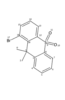 CC1(C)c2ccccc2S(=O)(=O)c2cccc(Br)c21